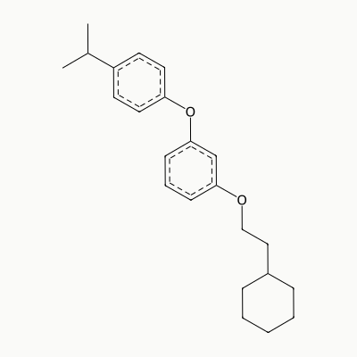 CC(C)c1ccc(Oc2cccc(OCCC3CCCCC3)c2)cc1